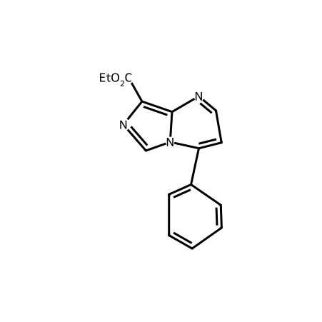 CCOC(=O)c1ncn2c(-c3ccccc3)ccnc12